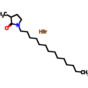 Br.CCCCCCCCCCCCCCN1CCC(C)C1=O